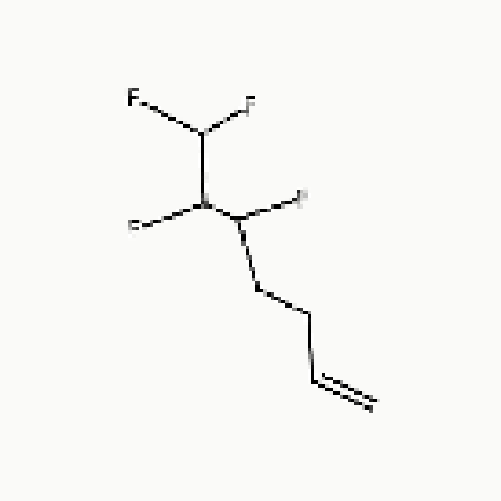 C=CCCC(F)C(F)C(F)F